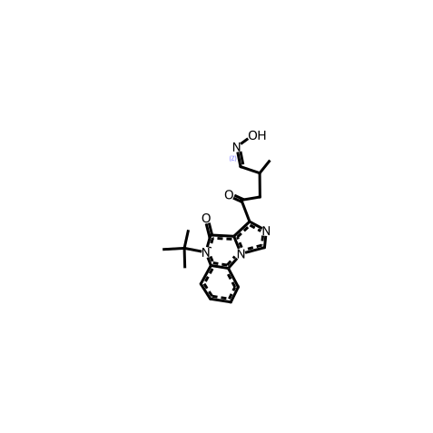 CC(/C=N\O)CC(=O)c1ncn2c1c(=O)n(C(C)(C)C)c1ccccc12